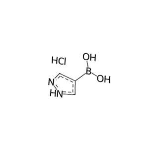 Cl.OB(O)c1cn[nH]c1